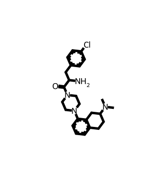 CN(C)C1CCc2cccc(N3CCN(C(=O)C(N)Cc4ccc(Cl)cc4)CC3)c2C1